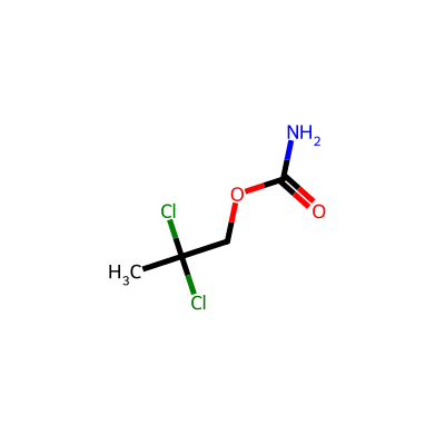 CC(Cl)(Cl)COC(N)=O